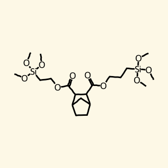 CO[Si](CCCOC(=O)C1C2CCC(C2)C1C(=O)OCC[Si](OC)(OC)OC)(OC)OC